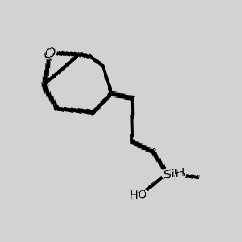 C[SiH](O)CCCC1CCC2OC2C1